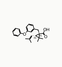 CC(C)=C[C@H]1C(C)(C)[C@@]1(Cc1cccc(Oc2ccccc2)c1)C(=O)O